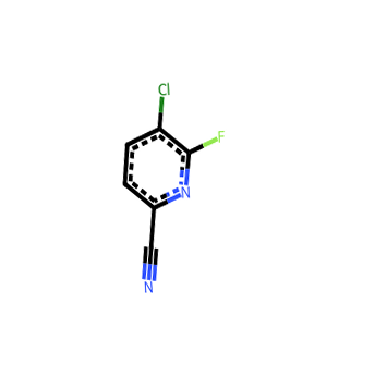 N#Cc1ccc(Cl)c(F)n1